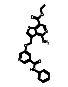 CCOC(=O)c1cnc(N)c2c(COc3cncc(C(=O)Nc4ccccc4)c3)csc12